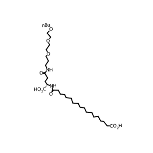 CCCCOCCOCCOCCCNC(=O)CC[C@H](NC(=O)CCCCCCCCCCCCCCCCC(=O)O)C(=O)O